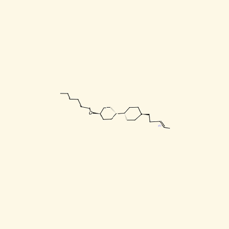 C/C=C/CC[C@H]1CC[C@H]([C@H]2CC[C@H](OCCCCCC)CC2)CC1